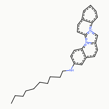 CCCCCCCCCCNc1ccc2c(ccc3c[n+]4c5ccccc5ccc4n32)c1